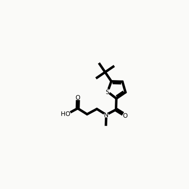 CN(CCC(=O)O)C(=O)c1ccc(C(C)(C)C)s1